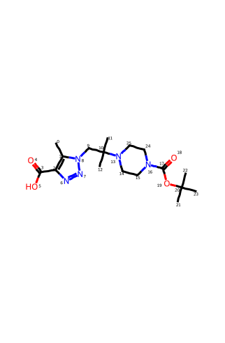 Cc1c(C(=O)O)nnn1CC(C)(C)N1CCN(C(=O)OC(C)(C)C)CC1